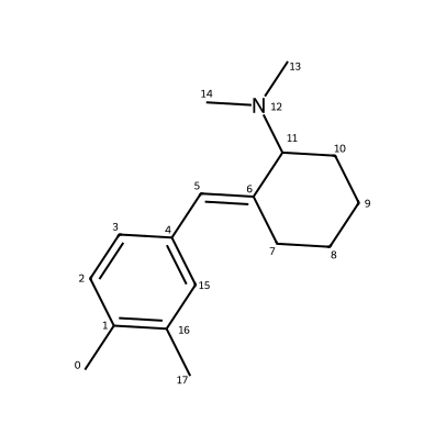 Cc1ccc(C=C2CCCCC2N(C)C)cc1C